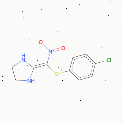 O=[N+]([O-])C(Sc1ccc(Cl)cc1)=C1NCCN1